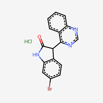 Cl.O=C1Nc2cc(Br)ccc2C1c1ncnc2ccccc12